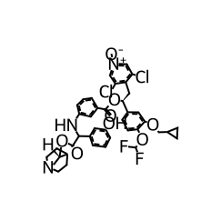 O=C(O[C@@H](Cc1c(Cl)c[n+]([O-])cc1Cl)c1ccc(OC(F)F)c(OCC2CC2)c1)c1cccc(NC(C(=O)O[C@H]2CN3CCC2CC3)c2cccc(O)c2)c1